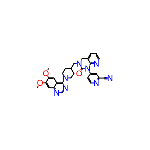 COc1cc2ncnc(N3CCC(CN4Cc5cccnc5N(c5ccnc(C#N)c5)C4=O)CC3)c2cc1OC